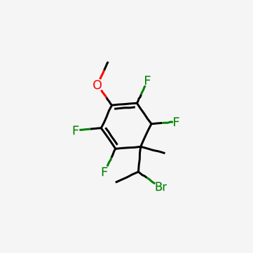 COC1=C(F)C(F)C(C)(C(C)Br)C(F)=C1F